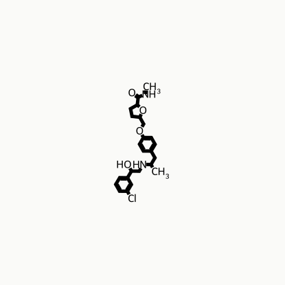 CNC(=O)C1CCC(COc2ccc(CC(C)NCC(O)c3cccc(Cl)c3)cc2)O1